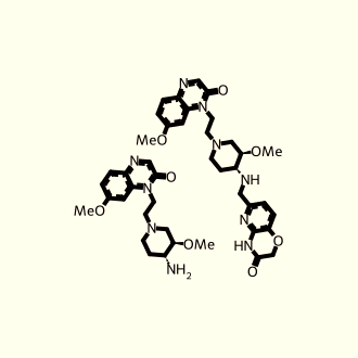 COc1ccc2ncc(=O)n(CCN3CC[C@@H](N)[C@H](OC)C3)c2c1.COc1ccc2ncc(=O)n(CCN3CC[C@@H](NCc4ccc5c(n4)NC(=O)CO5)[C@H](OC)C3)c2c1